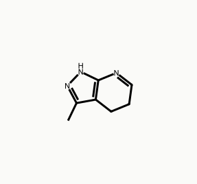 Cc1n[nH]c2c1CCC=N2